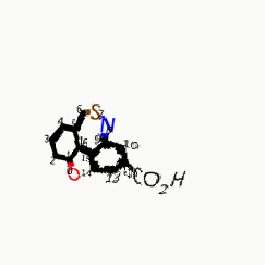 O=C1CC=CC2=CSN=c3cc(C(=O)O)ccc3=C12